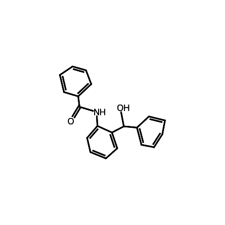 O=C(Nc1ccccc1C(O)c1ccccc1)c1ccccc1